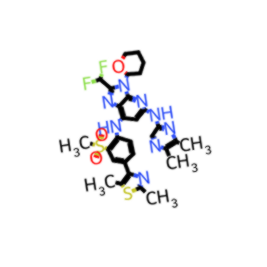 Cc1nc(-c2ccc(Nc3cc(Nc4cnc(C)c(C)n4)nc4c3nc(C(F)F)n4C3CCCCO3)c(S(C)(=O)=O)c2)c(C)s1